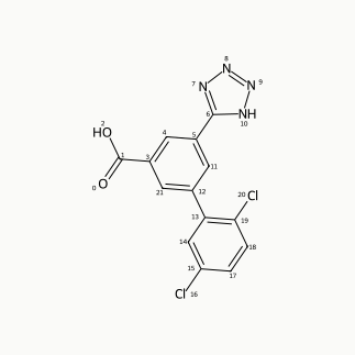 O=C(O)c1cc(-c2nnn[nH]2)cc(-c2cc(Cl)ccc2Cl)c1